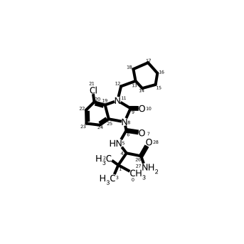 CC(C)(C)C(NC(=O)n1c(=O)n(CC2CCCCC2)c2c(Cl)cccc21)C(N)=O